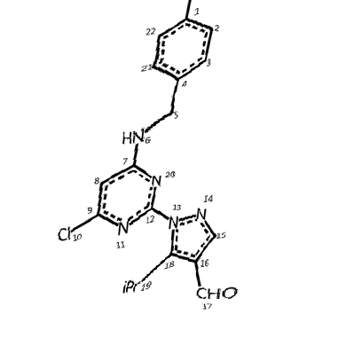 COc1ccc(CNc2cc(Cl)nc(-n3ncc(C=O)c3C(C)C)n2)cc1